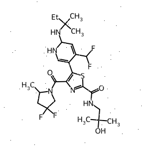 CCC(C)(C)NC1C=C(C(F)F)C(c2sc(C(=O)NCC(C)(C)O)nc2C(=O)N2CC(F)(F)CC2C)=CN1